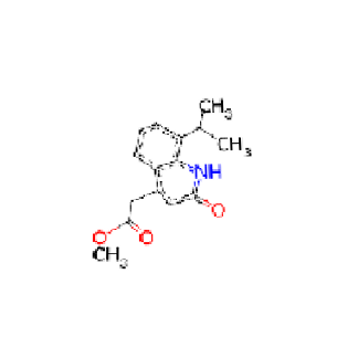 COC(=O)Cc1cc(=O)[nH]c2c(C(C)C)cccc12